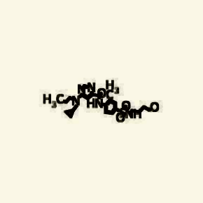 CCCN(CC1CC1)c1cc(C(=O)Nc2ccc(S(=O)(=O)NCCCC=O)cc2C)ncn1